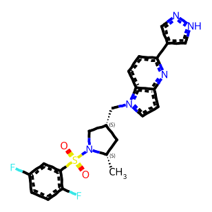 C[C@H]1C[C@@H](Cn2ccc3nc(-c4cn[nH]c4)ccc32)CN1S(=O)(=O)c1cc(F)ccc1F